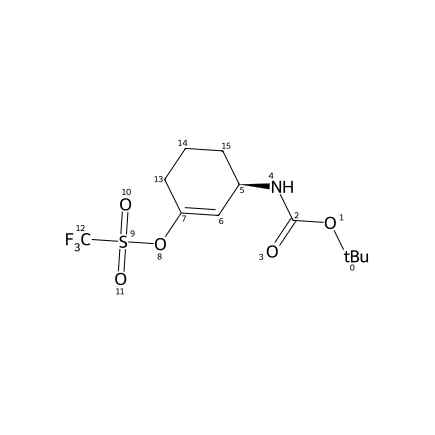 CC(C)(C)OC(=O)N[C@H]1C=C(OS(=O)(=O)C(F)(F)F)CCC1